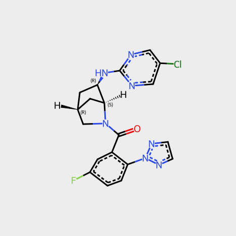 O=C(c1cc(F)ccc1-n1nccn1)N1C[C@@H]2C[C@@H](Nc3ncc(Cl)cn3)[C@@H]1C2